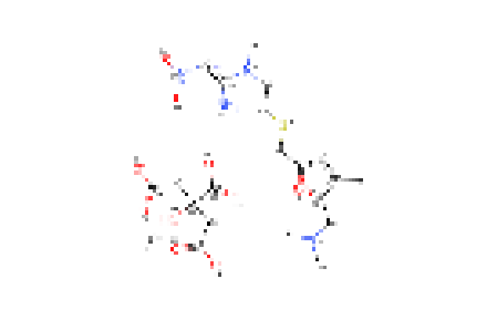 Cc1cc(CSCCN(C)/C(N)=C/[N+](=O)[O-])oc1CN(C)C.O=C([O-])CC(O)(CC(=O)[O-])C(=O)[O-].[Bi+3]